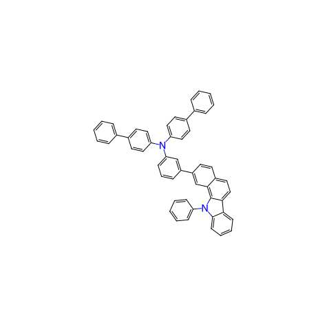 c1ccc(-c2ccc(N(c3ccc(-c4ccccc4)cc3)c3cccc(-c4ccc5ccc6c7ccccc7n(-c7ccccc7)c6c5c4)c3)cc2)cc1